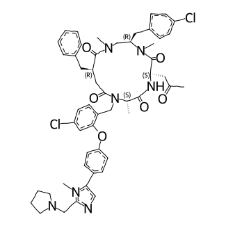 CC(=O)C[C@@H]1NC(=O)[C@H](C)N(Cc2ccc(Cl)cc2Oc2ccc(-c3cnc(CN4CCCC4)n3C)cc2)C(=O)C[C@@H](Cc2ccccc2)C(=O)N(C)C[C@@H](Cc2ccc(Cl)cc2)N(C)C1=O